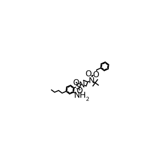 CCCCc1ccc(S(=O)(=O)N2CC(N(C(=O)OCc3ccccc3)C(C)(C)C)C2)c(N)c1